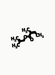 C=C(C)COC(=O)/C(C)=C\C